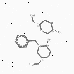 CC[C@@H]1CO[C@H](CO)CN1.CC[C@@H]1CO[C@H](CO)CN1Cc1ccccc1